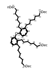 CCCCCCCCCCCCCCCCc1cccc(Oc2cccc(CCCCCCCCCCCCCCCC)c2CCCCCCCCCCCCCCCC)c1CCCCCCCCCCCCCCCC